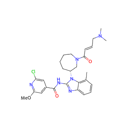 COc1cc(C(=O)Nc2nc3cccc(C)c3n2[C@@H]2CCCCN(C(=O)/C=C/CN(C)C)C2)cc(Cl)n1